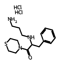 Cl.Cl.NCCCNC(Cc1ccccc1)C(=O)N1CCSCC1